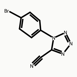 N#Cc1nnnn1-c1ccc(Br)cc1